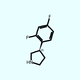 Fc1ccc([C@H]2CCNC2)c(F)c1